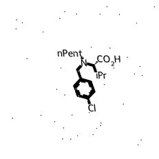 CCCCCN(Cc1ccc(Cl)cc1)[C@H](C(=O)O)C(C)C